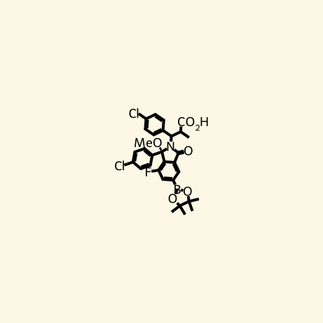 CO[C@]1(c2ccc(Cl)cc2)c2c(F)cc(B3OC(C)(C)C(C)(C)O3)cc2C(=O)N1C(c1ccc(Cl)cc1)C(C)C(=O)O